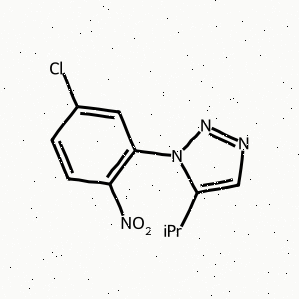 CC(C)c1cnnn1-c1cc(Cl)ccc1[N+](=O)[O-]